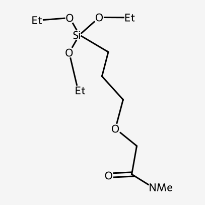 CCO[Si](CCCOCC(=O)NC)(OCC)OCC